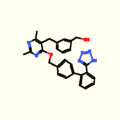 Cc1nc(C)c(Cc2cccc(CO)c2)c(OCc2ccc(-c3ccccc3-c3nnn[nH]3)cc2)n1